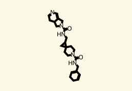 O=C(NCC1=CCCC=C1)N1CCC2(CC1)CC2CNC(=O)N1CC2=CN=CCC2C1